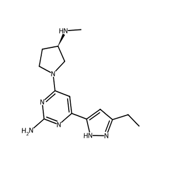 CCc1cc(-c2cc(N3CC[C@@H](NC)C3)nc(N)n2)[nH]n1